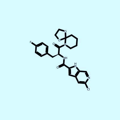 O=C(N[C@@H](Cc1ccc(F)cc1)C(=O)N1CCCCC12OCCO2)c1cc2cc(Cl)ncc2[nH]1